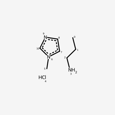 CCCN.Cl.Cn1ccnc1